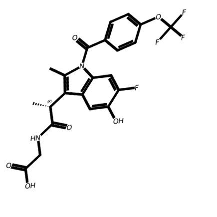 Cc1c([C@@H](C)C(=O)NCC(=O)O)c2cc(O)c(F)cc2n1C(=O)c1ccc(OC(F)(F)F)cc1